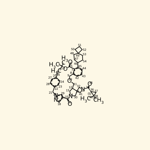 CC(C)(C)OC(=O)c1c(COCC2CN(C(=O)c3cnn(Cc4ccc(F)cc4)c3)CC23CN(C(=O)[C@H]2CC2(C)C)C3)cccc1C1CCC2(CCC2)CC1